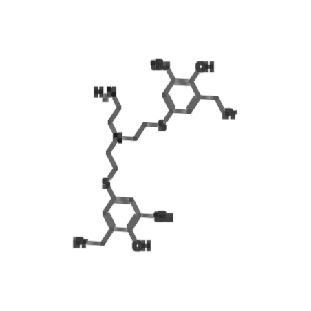 CC(C)Cc1cc(SCCN(CCN)CCSc2cc(CC(C)C)c(O)c(C(C)(C)C)c2)cc(C(C)(C)C)c1O